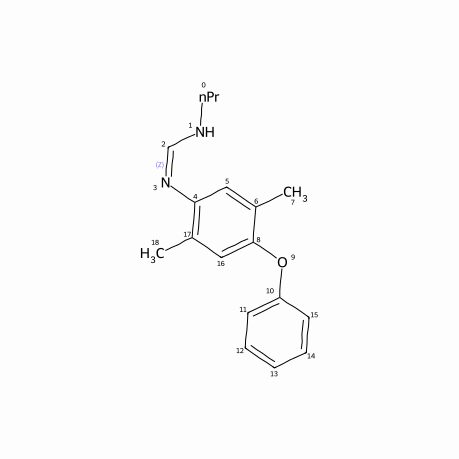 CCCN/C=N\c1cc(C)c(Oc2ccccc2)cc1C